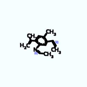 C=C(C)c1cc(C)c(/C=C\C)cc1/N=C\C